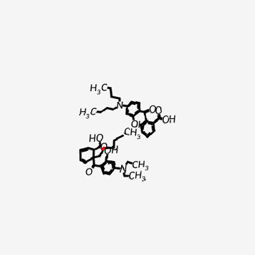 CCCCCCC1(C(=O)c2ccc(N(CC)CC)cc2O)C=CC=CC1C(=O)O.CCCCN(CCCC)c1ccc(C(=O)c2ccccc2C(=O)O)c(O)c1